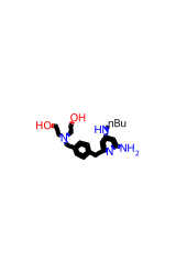 CCCCNc1cc(N)nc(Cc2ccc(CN(CCO)CCO)cc2)c1